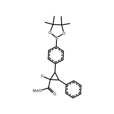 COC(=O)C1(F)C(c2ccccc2)C1c1ccc(B2OC(C)(C)C(C)(C)O2)cc1